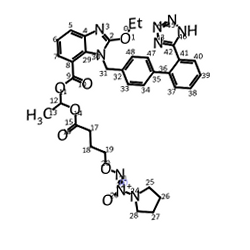 CCOc1nc2cccc(C(=O)OC(C)OC(=O)CCCO/N=[N+](\[O-])N3CCCC3)c2n1Cc1ccc(-c2ccccc2-c2nnn[nH]2)cc1